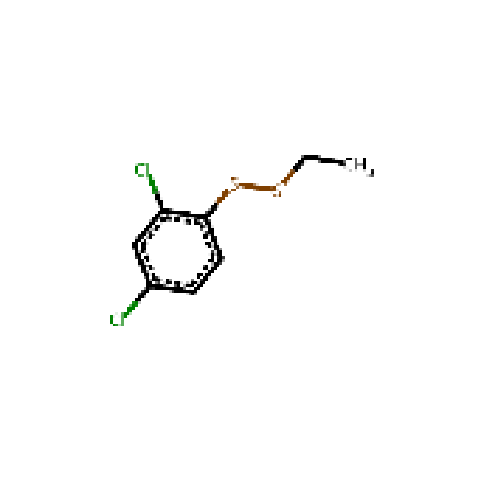 CCSSc1ccc(Cl)cc1Cl